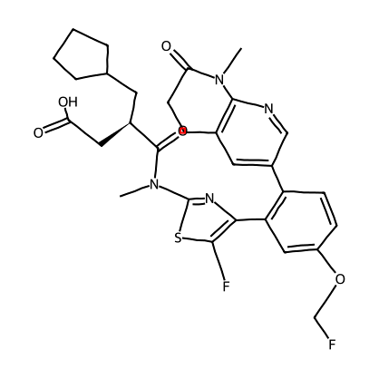 CN(C(=O)[C@@H](CC(=O)O)CC1CCCC1)c1nc(-c2cc(OCF)ccc2-c2cnc3c(c2)CCC(=O)N3C)c(F)s1